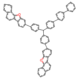 c1ccc(-c2ccc(-c3ccc(C(c4ccc(-c5ccc6c(c5)oc5c7ccccc7ccc65)cc4)c4ccc(-c5ccc6c(c5)oc5c7ccccc7ccc65)cc4)cc3)cc2)cc1